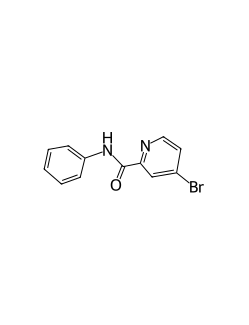 O=C(Nc1ccccc1)c1cc(Br)ccn1